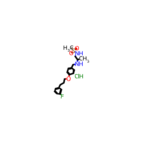 CC(CNS(C)(=O)=O)NCc1ccc(OCCCc2cccc(F)c2)cc1.Cl